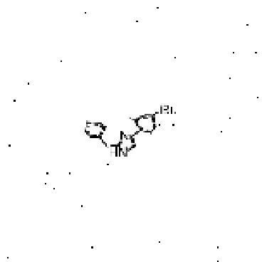 CCC(C)c1ccc(-c2c[nH]c(Cc3ccccc3)n2)c(C)c1